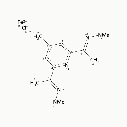 CNN=C(C)c1cc(C)cc(C(C)=NNC)n1.[Cl-].[Cl-].[Fe+2]